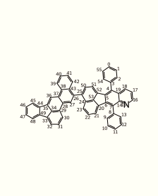 c1ccc(-c2c3c(c(-c4ccccc4)c4ncccc24)-c2cccc4c(-c5cc6c7cccc8c7c(cc6c6ccccc56)-c5ccccc5-8)ccc-3c24)cc1